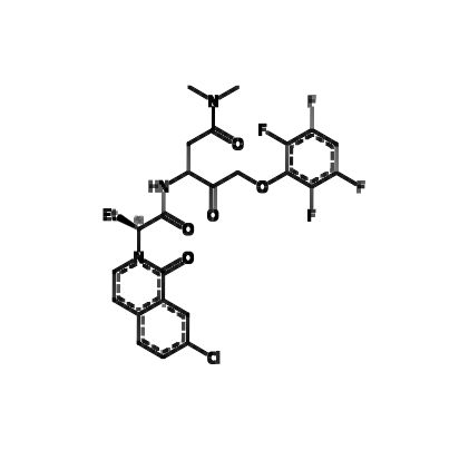 CC[C@@H](C(=O)NC(CC(=O)N(C)C)C(=O)COc1c(F)c(F)cc(F)c1F)n1ccc2ccc(Cl)cc2c1=O